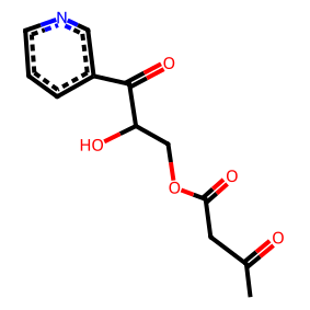 CC(=O)CC(=O)OCC(O)C(=O)c1cccnc1